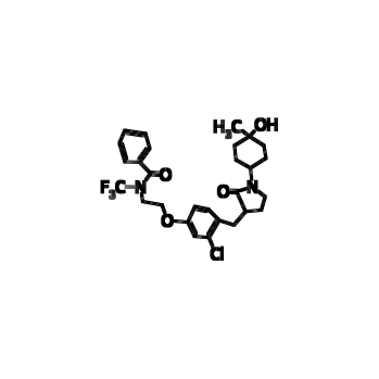 CC1(O)CCC(N2CCC(Cc3ccc(OCCN(C(=O)c4ccccc4)C(F)(F)F)cc3Cl)C2=O)CC1